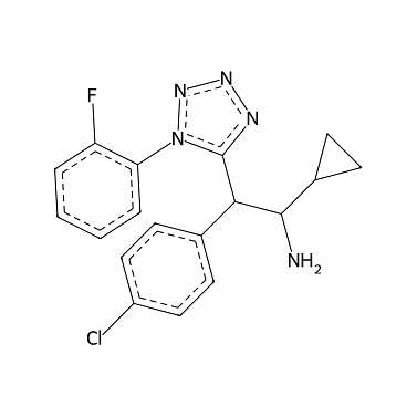 NC(C1CC1)C(c1ccc(Cl)cc1)c1nnnn1-c1ccccc1F